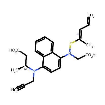 C#CCN(c1ccc(N(CC(=O)O)S/C(C)=C/C=C)c2ccccc12)[C@@H](C)CC(=O)O